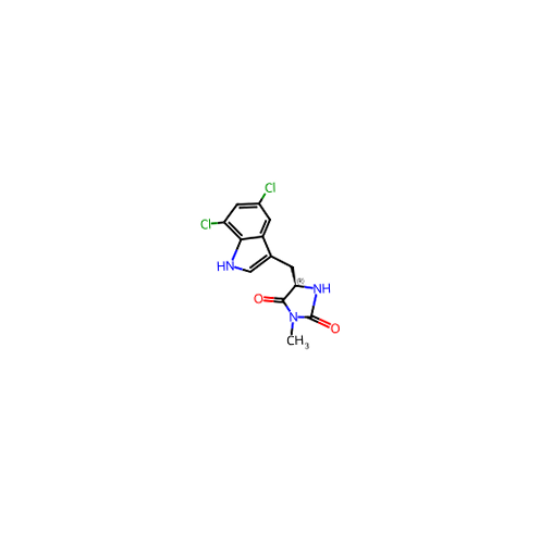 CN1C(=O)N[C@H](Cc2c[nH]c3c(Cl)cc(Cl)cc23)C1=O